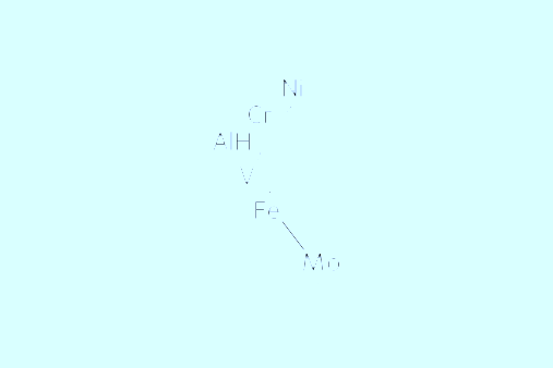 [AlH3].[Cr].[Fe][Mo].[Ni].[V]